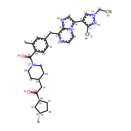 Cc1cc(Cc2nccn3c(-c4cn(CC#N)nc4C(F)(F)F)cnc23)ccc1C(=O)N1CCC(CC(=O)[C@H]2CC[C@H](C)C2)CC1